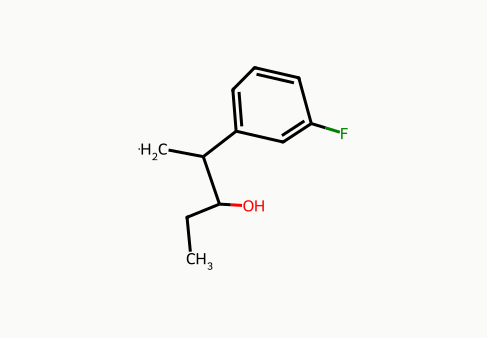 [CH2]C(c1cccc(F)c1)C(O)CC